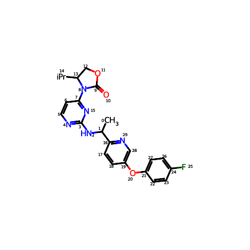 CC(Nc1nccc(N2C(=O)OCC2C(C)C)n1)c1ccc(Oc2ccc(F)cc2)cn1